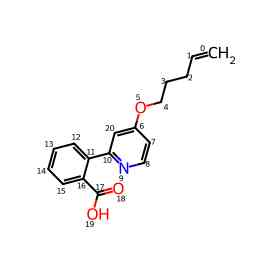 C=CCCCOc1ccnc(-c2ccccc2C(=O)O)c1